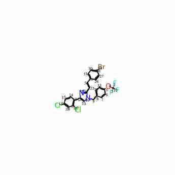 FC(F)(F)Oc1ccc(Cn2cc(-c3ccc(Cl)cc3Cl)nc2/C=C/c2ccc(Br)cc2)cc1